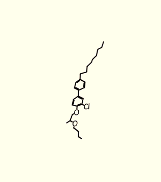 CCCCCCCCCc1ccc(-c2ccc(OCC(C)OCCCC)c(Cl)c2)cc1